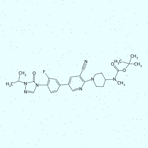 CC(C)n1ncn(-c2ccc(-c3cnc(N4CCC(N(C)C(=O)OC(C)(C)C)CC4)c(C#N)c3)cc2F)c1=O